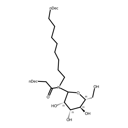 CCCCCCCCCCCCCCCCCCN(C(=O)CCCCCCCCCCC)C1O[C@H](CO)[C@@H](O)[C@H](O)[C@@H]1O